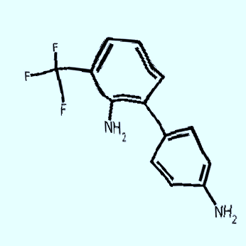 Nc1ccc(-c2cccc(C(F)(F)F)c2N)cc1